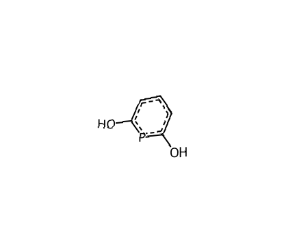 Oc1cccc(O)p1